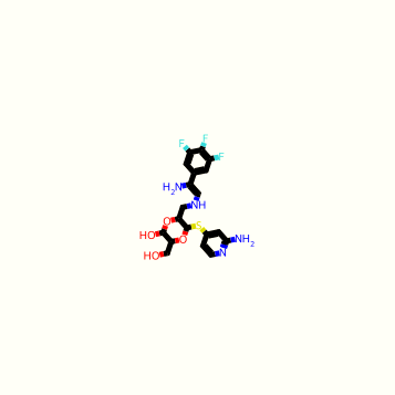 N/C(=C\NCC1OC(O)C(CO)OC1Sc1ccnc(N)c1)c1cc(F)c(F)c(F)c1